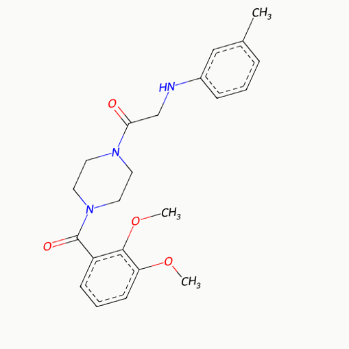 COc1cccc(C(=O)N2CCN(C(=O)CNc3cccc(C)c3)CC2)c1OC